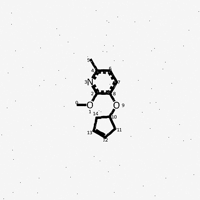 COc1nc(C)ccc1OC1CC=CC1